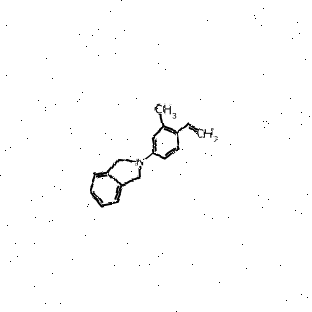 C=Cc1ccc(N2Cc3ccccc3C2)cc1C